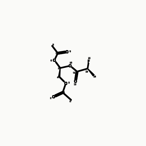 CC(=O)OC[C@@H](OC(C)=O)OC(=O)[C@H](C)F